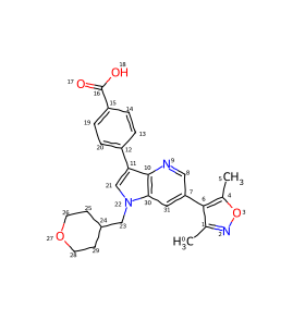 Cc1noc(C)c1-c1cnc2c(-c3ccc(C(=O)O)cc3)cn(CC3CCOCC3)c2c1